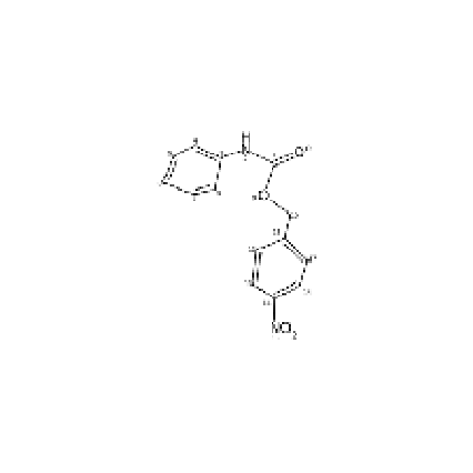 O=C(Nc1ccccc1)OCc1ccc([N+](=O)[O-])cc1